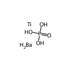 O=P(O)(O)O.[BaH2].[Ti]